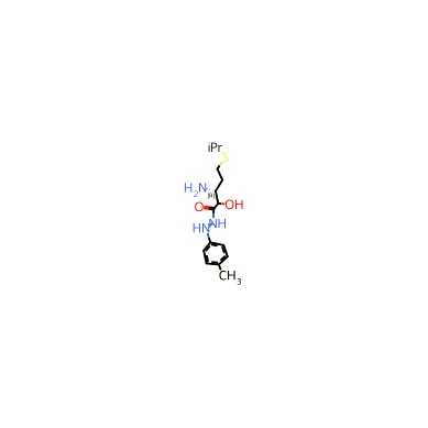 Cc1ccc(NNC(=O)C(O)[C@H](N)CCSC(C)C)cc1